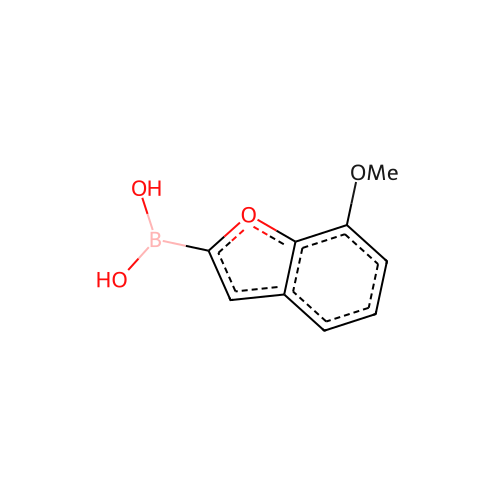 COc1cccc2cc(B(O)O)oc12